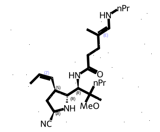 C/C=C\[C@@H]1C[C@H](C#N)N[C@H]1[C@@H](NC(=O)CC/C(C)=C/NCCC)C(C)(CCC)OC